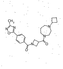 Cc1noc(-c2ccc(C(=O)N3CC(C(=O)N4CCCN(C5CCC5)CC4)C3)cc2)n1